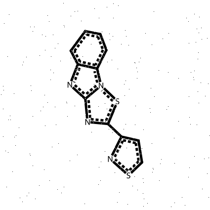 c1ccc2c(c1)nc1nc(-c3ccsn3)sn12